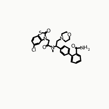 CN(C(=O)Cn1c(=O)sc2ccc(Cl)cc21)C(CN1CCOCC1)c1ccc(-c2ccccc2C(N)=O)cc1